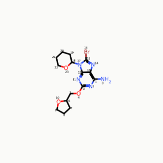 Nc1nc(OCC2CCCO2)nc2c1nc(Br)n2C1CCCCO1